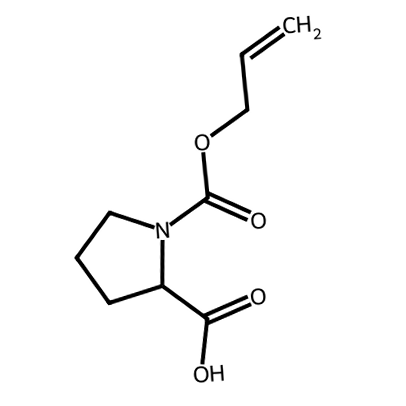 C=CCOC(=O)N1CCCC1C(=O)O